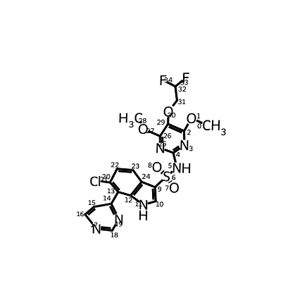 COc1nc(NS(=O)(=O)c2c[nH]c3c(-c4ccncn4)c(Cl)ccc23)nc(OC)c1OCC(F)F